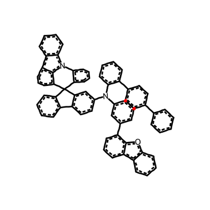 c1ccc(-c2ccc(-c3ccccc3N(c3cccc(-c4cccc5c4oc4ccccc45)c3)c3ccc4c(c3)C3(c5ccccc5-4)c4ccccc4-n4c5ccccc5c5cccc3c54)cc2)cc1